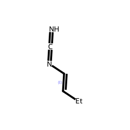 CC/C=C/N=C=N